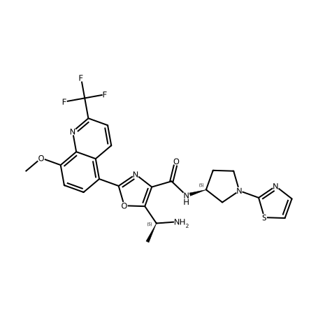 COc1ccc(-c2nc(C(=O)N[C@H]3CCN(c4nccs4)C3)c([C@H](C)N)o2)c2ccc(C(F)(F)F)nc12